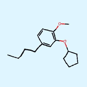 CCCCc1ccc(OC)c(OC2CCCC2)c1